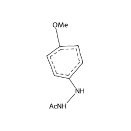 COc1ccc(NNC(C)=O)cc1